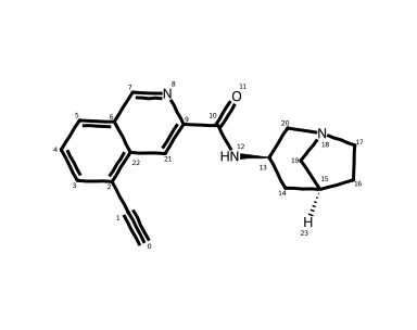 C#Cc1cccc2cnc(C(=O)N[C@@H]3C[C@@H]4CCN(C4)C3)cc12